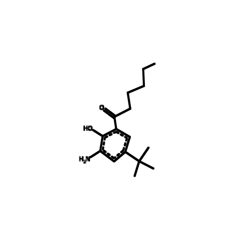 CCCCCC(=O)c1cc(C(C)(C)C)cc(N)c1O